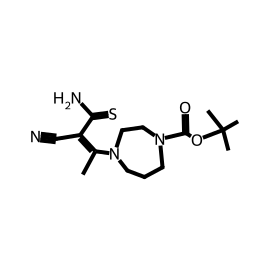 C/C(=C(\C#N)C(N)=S)N1CCCN(C(=O)OC(C)(C)C)CC1